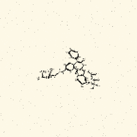 N=C(N)NC(S)CCCc1ccc2c(c1)C(=O)N(C(CC(=O)OC(=O)C(F)(F)F)c1ccccc1)CC(=O)N2c1ccccc1